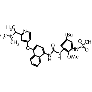 COc1c(NC(=O)Nc2ccc(Oc3ccnc(C(C)N(C)C)c3)c3ccccc23)cc(C(C)(C)C)cc1NS(C)(=O)=O